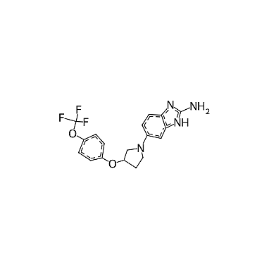 Nc1nc2ccc(N3CCC(Oc4ccc(OC(F)(F)F)cc4)C3)cc2[nH]1